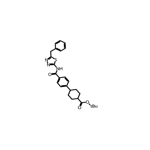 CC(C)(C)OC(=O)C1CCC(c2ccc(C(=O)Nc3nnc(Cc4ccccc4)s3)cc2)CC1